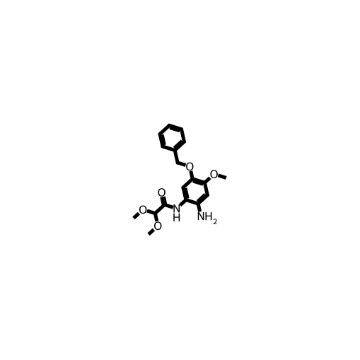 COc1cc(N)c(NC(=O)C(OC)OC)cc1OCc1ccccc1